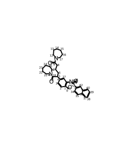 Cc1ccc(C(CCCC(=O)N2CCCCCC2)C(=O)N2CCCCCC2)cc1NS(=O)(=O)c1ccc2ccccc2c1